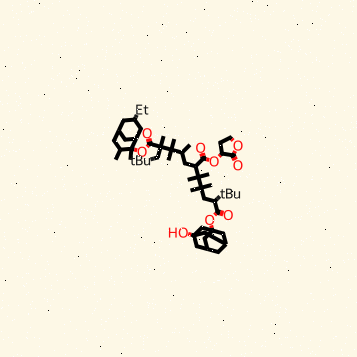 CCC1CC2CC(C)C(C)(OC(=O)C(C)(CC(C)(C)C)C(C)(C)C(C)CC(C(=O)OC3CCOC3=O)C(C)(C)C(C)(C)CC(C(=O)OC34CC5CC(CC(O)(C5)C3)C4)C(C)(C)C)C(C1)C2